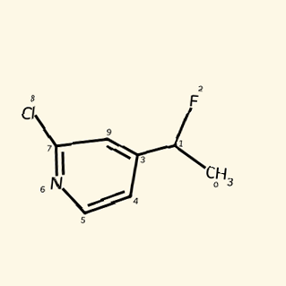 CC(F)c1ccnc(Cl)c1